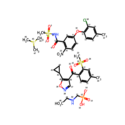 CS(=O)(=O)NC(=O)c1cc(Oc2ccc(C(F)(F)F)cc2Cl)ccc1[N+](=O)[O-].CS(=O)(=O)c1cc(C(F)(F)F)ccc1C(=O)c1cnoc1C1CC1.C[S+](C)C.O=C(O)CNCP(=O)([O-])O